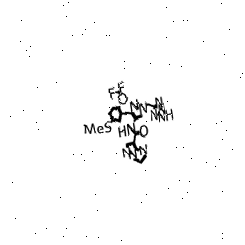 CSc1ccc(OC(F)F)c(-c2nn(Cc3nn[nH]n3)cc2NC(=O)c2cnn3cccnc23)c1